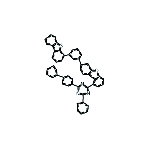 c1ccc(-c2ccc(-c3nc(-c4ccccc4)nc(-c4cccc5oc6cc(-c7cccc(-c8cccc9c8sc8ccccc89)c7)ccc6c45)n3)cc2)cc1